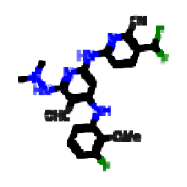 COc1c(F)cccc1Nc1cc(Nc2ccc(C(F)F)c(C#N)n2)nc(NN(C)C)c1C=O